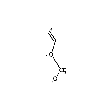 C=CO[Cl+][O-]